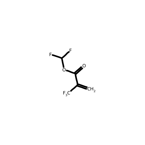 C=C(C(=O)OC(F)F)C(F)(F)F